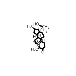 CC(O)[C@H]1C(C)C[C@H]2[C@@H]3CCN4C(C)C(=O)CC[C@]4(C)[C@H]3CC[C@]12C